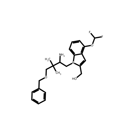 CC(C)(COCc1ccccc1)C(N)Cn1c(CO)cc2c(OC(F)F)cccc21